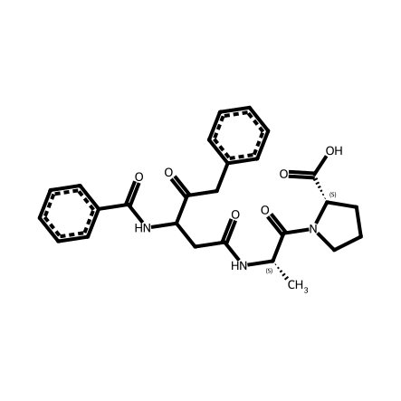 C[C@H](NC(=O)CC(NC(=O)c1ccccc1)C(=O)Cc1ccccc1)C(=O)N1CCC[C@H]1C(=O)O